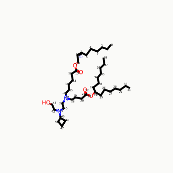 CCCCCC/C=C\COC(=O)CCCCCN(CCCC(=O)OC(CCCCCCC)CCCCCCC)CCN(CCO)C1CCC1